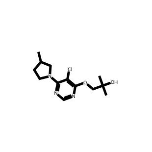 CC1CCN(c2ncnc(OCC(C)(C)O)c2Cl)C1